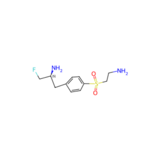 NCCS(=O)(=O)c1ccc(C[C@H](N)CF)cc1